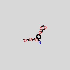 COCCOCCOC1(C#N)CCC(OCC2COCCO2)CC1